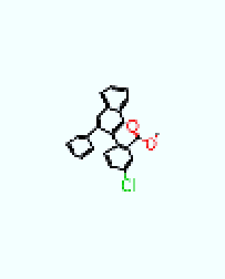 COC(=O)c1cc(Cl)ccc1-c1cc2ccccc2cc1-c1ccccc1